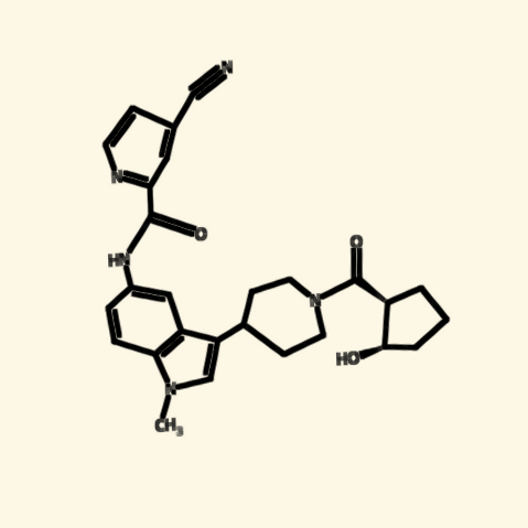 Cn1cc(C2CCN(C(=O)[C@H]3CCC[C@H]3O)CC2)c2cc(NC(=O)c3cc(C#N)ccn3)ccc21